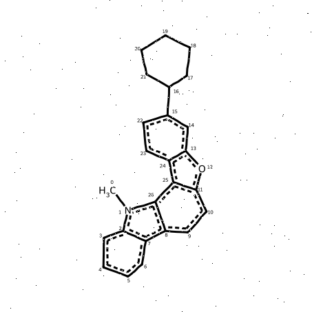 Cn1c2ccccc2c2ccc3oc4cc(C5CCCCC5)ccc4c3c21